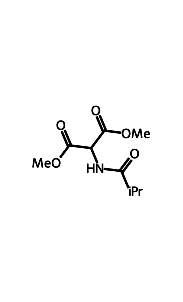 COC(=O)C(NC(=O)C(C)C)C(=O)OC